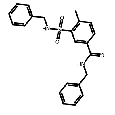 Cc1ccc(C(=O)NCc2ccccc2)cc1S(=O)(=O)NCc1ccccc1